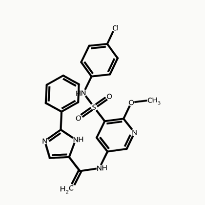 C=C(Nc1cnc(OC)c(S(=O)(=O)Nc2ccc(Cl)cc2)c1)c1cnc(-c2ccccc2)[nH]1